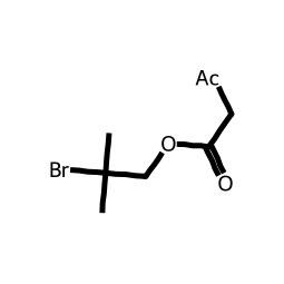 CC(=O)CC(=O)OCC(C)(C)Br